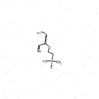 B[SH](C)(=O)CCO/C(C=N)=C/N